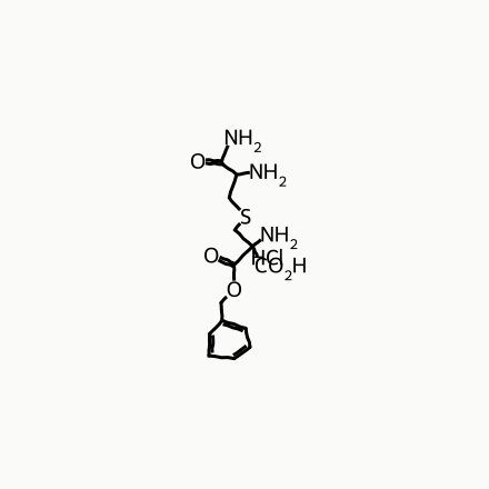 Cl.NC(=O)C(N)CSCC(N)(C(=O)O)C(=O)OCc1ccccc1